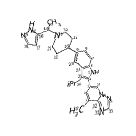 Cc1cc(-c2[nH]c3ccc(C4CCN(C(C)c5ccn[nH]5)CC4)cc3c2C(C)C)cn2ncnc12